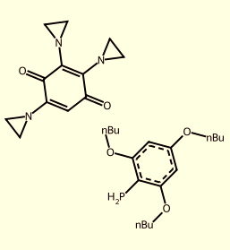 CCCCOc1cc(OCCCC)c(P)c(OCCCC)c1.O=C1C=C(N2CC2)C(=O)C(N2CC2)=C1N1CC1